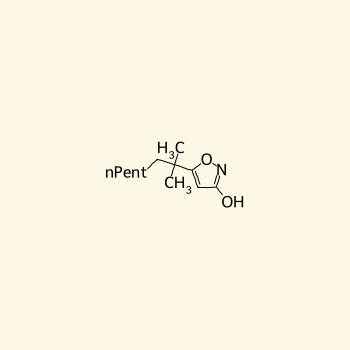 CCCCCCC(C)(C)c1cc(O)no1